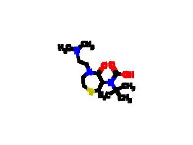 CN(C)CCN1CCSCC(N(C(=O)O)C(C)(C)C)C1=O